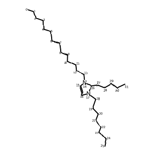 CCCCCCCCCCCCCCN1C=CN(CCCCCCCC)C1CCCCC